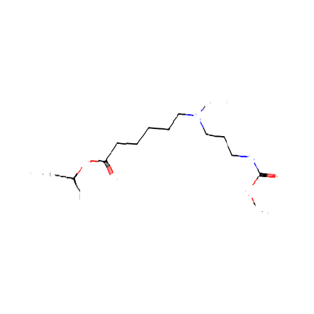 CCCCCCCCC(CC)OC(=O)CCCCCN(CCCCCCCC)CCCNC(=O)OC(C)(C)C